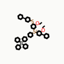 CCOc1cc([S+](c2ccccc2)c2ccc(-c3ccccc3)c(OCC)c2)ccc1Sc1ccc(-c2ccccc2)cc1.c1ccc([B-](c2ccccc2)(c2ccccc2)c2ccccc2)cc1